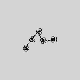 O=C(OCCCCC1COS(=O)(=O)O1)OCCCCC1OC(=O)OC1CCCCOS(=O)(=O)OCCCCC1COS(=O)(=O)O1